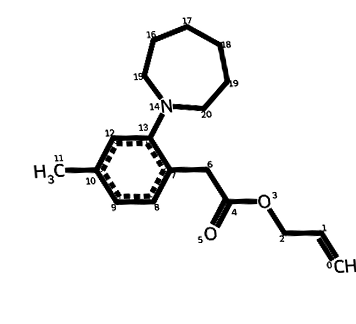 C=CCOC(=O)Cc1ccc(C)cc1N1CCCCCC1